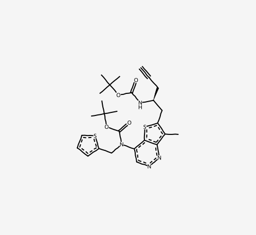 C#CC[C@@H](Cc1sc2c(N(Cc3cccs3)C(=O)OC(C)(C)C)cnnc2c1C)NC(=O)OC(C)(C)C